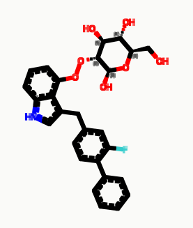 OC[C@H]1O[C@@H](O)[C@H](OOc2cccc3[nH]cc(Cc4ccc(-c5ccccc5)c(F)c4)c23)[C@@H](O)[C@@H]1O